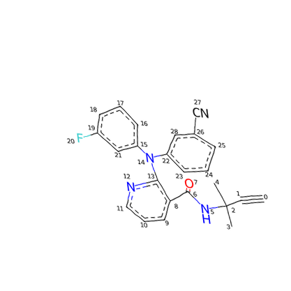 C#CC(C)(C)NC(=O)c1cccnc1N(c1cccc(F)c1)c1cccc(C#N)c1